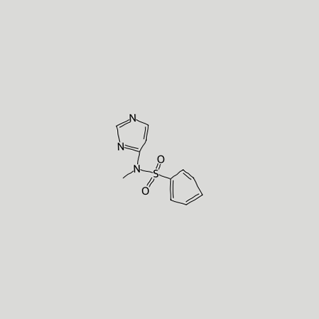 CN(c1ccncn1)S(=O)(=O)c1ccccc1